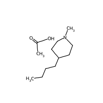 CC(=O)O.CCCCC1CCN(C)CC1